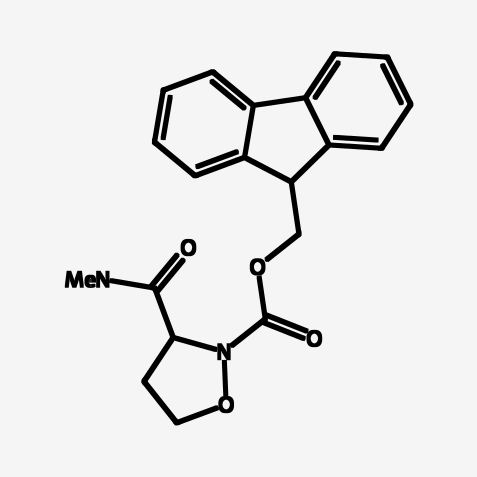 CNC(=O)C1CCON1C(=O)OCC1c2ccccc2-c2ccccc21